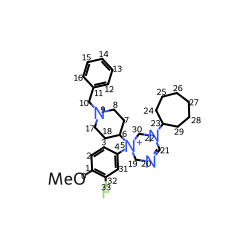 COc1ccc([N+]2(C3CCN(Cc4ccccc4)CC3)CN=CN(C3CCCCCC3)C2)cc1F